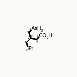 CC(C)C[C@@H](C[AsH2])CC(=O)O